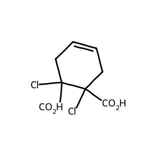 O=C(O)C1(Cl)CC=CCC1(Cl)C(=O)O